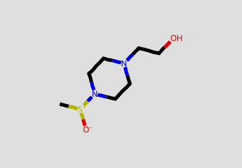 C[S+]([O-])N1CCN(CCO)CC1